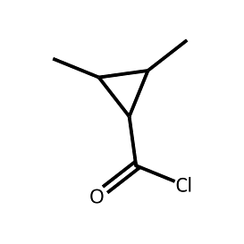 CC1C(C)C1C(=O)Cl